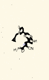 N#C/C(=C\c1c[nH]c2ncc(-c3ccc(=O)n(CC4CC4)c3)nc12)C(N)=O